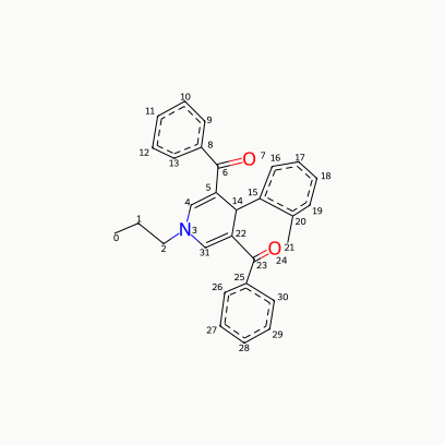 CCCN1C=C(C(=O)c2ccccc2)C(c2ccccc2C)C(C(=O)c2ccccc2)=C1